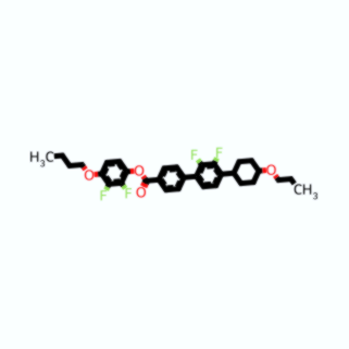 CCCCOc1ccc(OC(=O)c2ccc(-c3ccc(C4CCC(OCCC)CC4)c(F)c3F)cc2)c(F)c1F